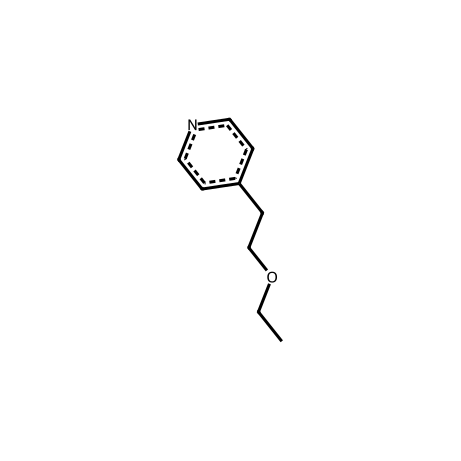 CCOCCc1ccncc1